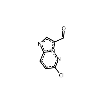 O=Cc1cnc2ccc(Cl)nn12